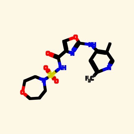 Cc1cnc(C(F)(F)F)cc1Nc1nc(C(=O)NS(=O)(=O)N2CCCOCC2)co1